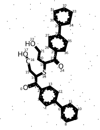 O=C(c1ccc(-c2ccccc2)cc1)C(CCO)SC(CCO)C(=O)c1ccc(-c2ccccc2)cc1